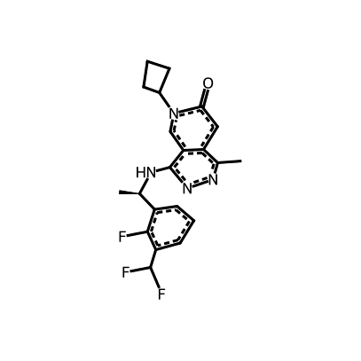 Cc1nnc(N[C@H](C)c2cccc(C(F)F)c2F)c2cn(C3CCC3)c(=O)cc12